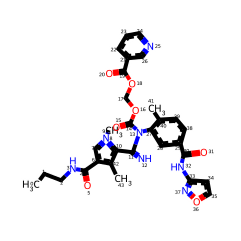 CCCNC(=O)c1cn(C)c(C(=N)N(C(=O)OCOC(=O)c2cccnc2)c2cc(C(=O)Nc3ccon3)ccc2C)c1C